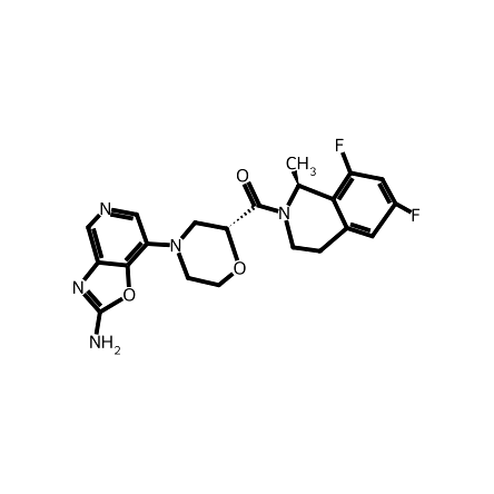 C[C@H]1c2c(F)cc(F)cc2CCN1C(=O)[C@H]1CN(c2cncc3nc(N)oc23)CCO1